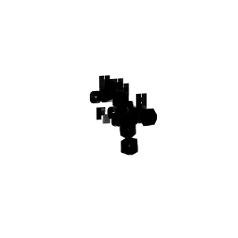 O=C1C[C@H](c2ccc(C[C@@H](c3nc4ccccc4[nH]3)N(OC(=O)C(F)(F)F)S(=O)(=O)c3ccc(-c4ccccc4)cc3)cc2)S(O)(O)N1